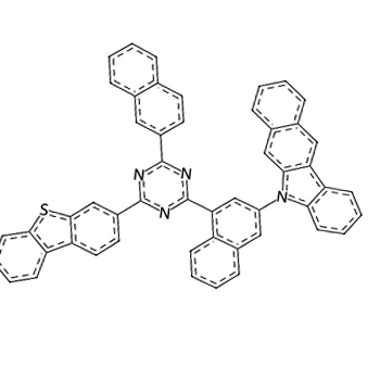 c1ccc2cc(-c3nc(-c4ccc5c(c4)sc4ccccc45)nc(-c4cc(-n5c6ccccc6c6cc7ccccc7cc65)cc5ccccc45)n3)ccc2c1